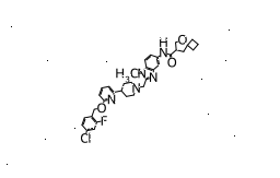 Cn1c(CN2CCC(c3cccc(OCc4ccc(Cl)cc4F)n3)CC2)nc2cc(NC(=O)C3COC4(CCC4)C3)ccc21